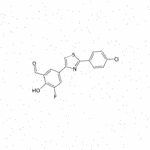 O=Cc1cc(-c2csc(-c3ccc(Cl)cc3)n2)cc(F)c1O